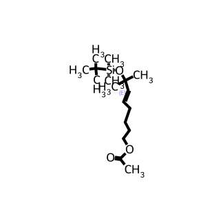 CC(=O)OCCCC/C=C/C(C)(C)O[Si](C)(C)C(C)(C)C